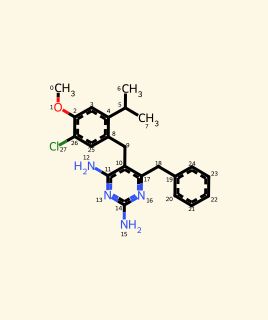 COc1cc(C(C)C)c(Cc2c(N)nc(N)nc2Cc2ccccc2)cc1Cl